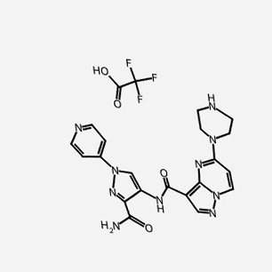 NC(=O)c1nn(-c2ccncc2)cc1NC(=O)c1cnn2ccc(N3CCNCC3)nc12.O=C(O)C(F)(F)F